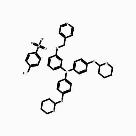 Cc1ccc(S(=O)(=O)[O-])cc1.c1cc(OCc2ccncc2)cc([S+](c2ccc(OC3CCCCO3)cc2)c2ccc(OC3CCCCO3)cc2)c1